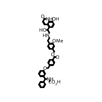 COc1cc(COC(=O)c2ccc(COc3cccc(C(NC(=O)O)c4ccccc4)c3)cc2)ccc1CCNCC(O)c1ccc(O)c2[nH]c(=O)ccc12